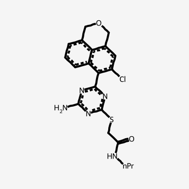 CCCNC(=O)CSc1nc(N)nc(-c2c(Cl)cc3c4c(cccc24)COC3)n1